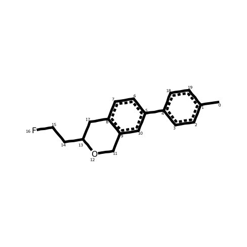 Cc1ccc(-c2ccc3c(c2)COC(CCF)C3)cc1